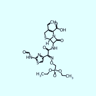 C=CC1=C(C(=O)O)N2C(=O)C(NC(=O)C(=NOCP(=O)(OCC)OCC)c3csc(NC=O)n3)[C@@H]2SC1